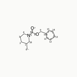 [CH2]C1CCCN(C(=O)OCc2ccccc2)C1